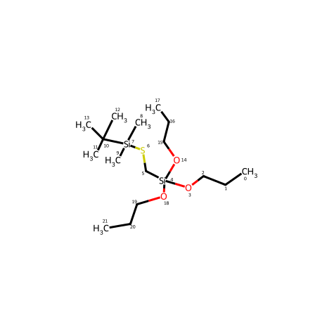 CCCO[Si](CS[Si](C)(C)C(C)(C)C)(OCCC)OCCC